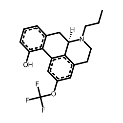 CCCN1CCc2cc(OC(F)(F)F)cc3c2[C@H]1Cc1cccc(O)c1-3